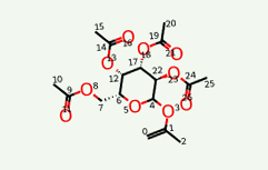 C=C(C)OC1O[C@H](COC(C)=O)[C@H](OC(C)=O)[C@H](OC(C)=O)[C@H]1OC(C)=O